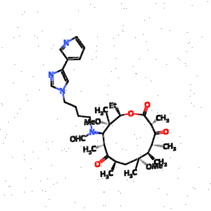 CC[C@H]1OC(=O)[C@H](C)C(=O)[C@H](C)[C@@H](C)[C@](C)(OC)C[C@@H](C)C(=O)[C@H](C)[C@@H](N(C=O)CCCCn2cnc(-c3cccnc3)c2)[C@]1(C)OC